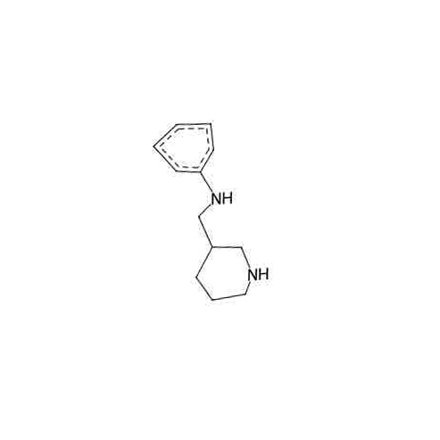 c1ccc(NCC2CCCNC2)cc1